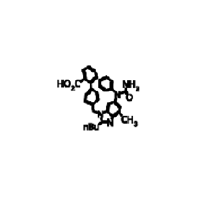 CCCCc1nc2c(C)cc(N(C(N)=O)c3ccccc3)cc2n1Cc1ccc(-c2ccccc2C(=O)O)cc1